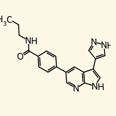 CCCNC(=O)c1ccc(-c2cnc3[nH]cc(-c4cn[nH]c4)c3c2)cc1